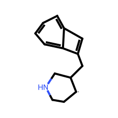 [CH]1CCNCC1CC1=Cc2ccccc21